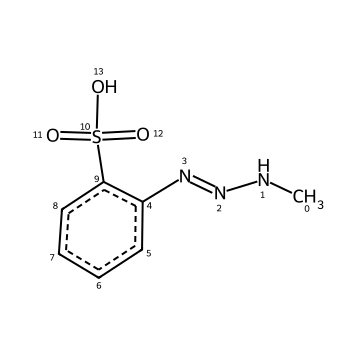 CNN=Nc1ccccc1S(=O)(=O)O